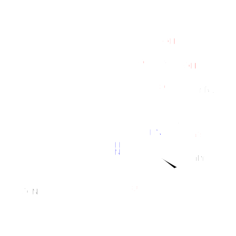 CCCCC(OP(=O)(O)O)C(=O)N[C@@H](CC(C)C)C(=O)Nc1ccc([N+](=O)[O-])cc1